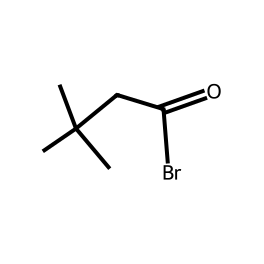 CC(C)(C)CC(=O)Br